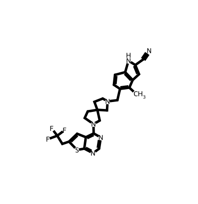 Cc1c(CN2CCC3(CCN(c4ncnc5sc(CC(F)(F)F)cc45)C3)C2)ccc2[nH]c(C#N)cc12